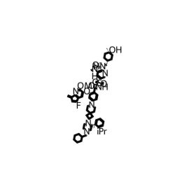 C=C1C=C(F)c2cc(Oc3cc(N4CCC5(CC4)CC(N4CCN(CC6CCCCC6)C[C@H]4c4ccccc4C(C)C)C5)ccc3C(=O)NS(=O)(=O)c3cnc(NC[C@H]4CC[C@](C)(O)CC4)c([NH+](C)[O-])c3)c(OC)nc21